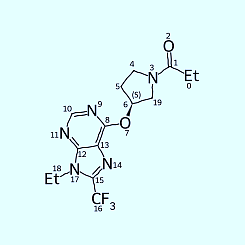 CCC(=O)N1CC[C@H](Oc2ncnc3c2nc(C(F)(F)F)n3CC)C1